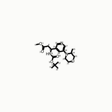 COC(=O)CC(NC(=O)OC(C)(C)C)c1cncc(N2CCOCC2C)c1